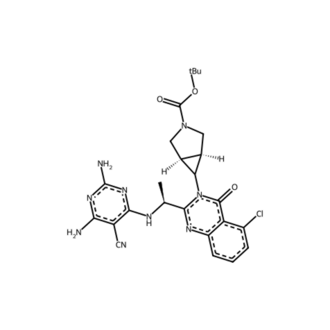 C[C@H](Nc1nc(N)nc(N)c1C#N)c1nc2cccc(Cl)c2c(=O)n1C1[C@H]2CN(C(=O)OC(C)(C)C)C[C@@H]12